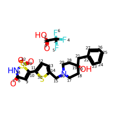 O=C(O)C(F)(F)F.O=C1C=C(c2ccc(CN3CCC(O)(Cc4ccccc4)CC3)s2)S(=O)(=O)N1